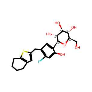 OC[C@H]1O[C@@H](c2cc(Cc3cc4c(s3)CCCC4)c(F)cc2O)[C@H](O)[C@@H](O)[C@@H]1O